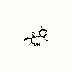 C=CC(C(=O)O[C@H]1C[C@@H](C)CC[C@@H]1C(C)C)[C@@H](C)O